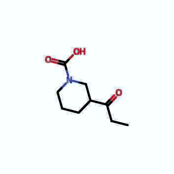 CCC(=O)C1CCCN(C(=O)O)C1